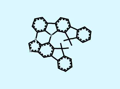 CC1(C)c2ccccc2-c2ccc3c(c21)B1c2c-3cccc2-n2cnc3cc4c(c1c32)C(C)(C)c1ccccc1-4